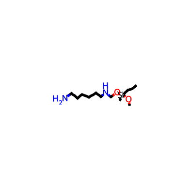 CCC[Si](C)(OC)OCNCCCCCCN